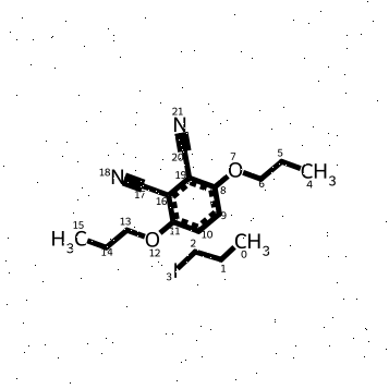 CCCI.CCCOc1ccc(OCCC)c(C#N)c1C#N